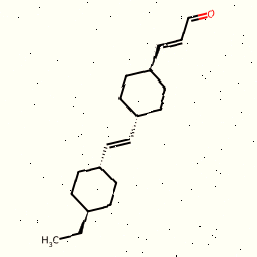 CC[C@H]1CC[C@H](C=C[C@H]2CC[C@H](C=CC=O)CC2)CC1